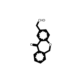 O=[C]Cc1ccc2c(c1)C(=O)c1ccccc1CO2